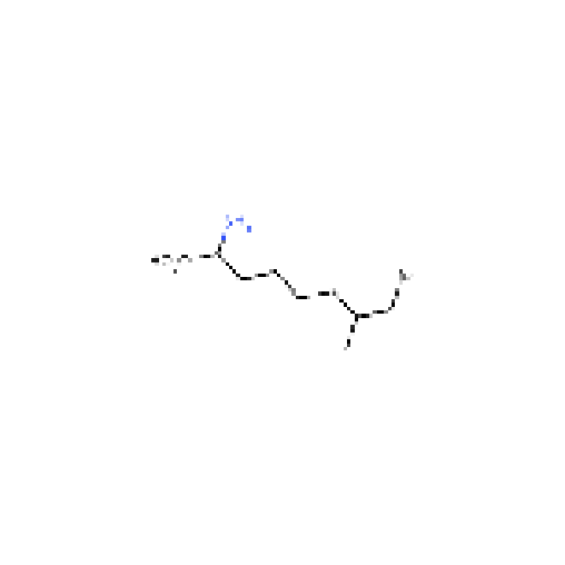 CC(=O)CC(C)CCCCC(N)C(=O)O